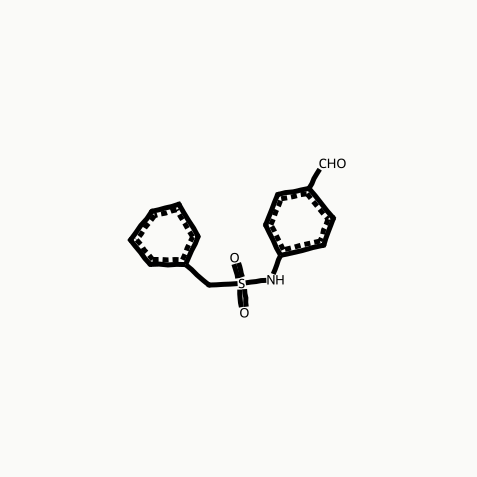 O=Cc1ccc(NS(=O)(=O)Cc2ccccc2)cc1